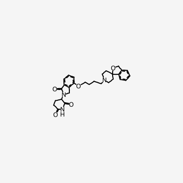 O=C1CCC(N2Cc3c(OCCCCN4CCC5(CC4)OCc4ccccc45)cccc3C2=O)C(=O)N1